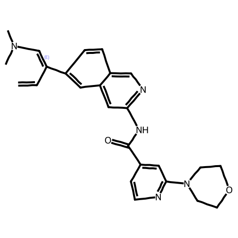 C=C/C(=C\N(C)C)c1ccc2cnc(NC(=O)c3ccnc(N4CCOCC4)c3)cc2c1